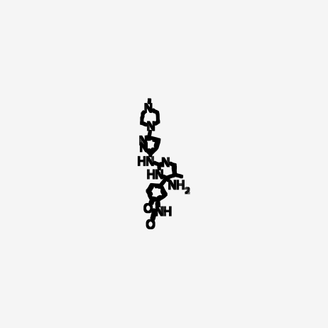 CC1=CN=C(Nc2ccc(N3CCN(C)CC3)nn2)NC1(N)c1ccc2oc(=O)[nH]c2c1